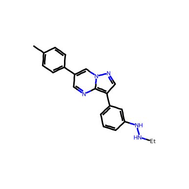 CCNNc1cccc(-c2cnn3cc(-c4ccc(C)cc4)cnc23)c1